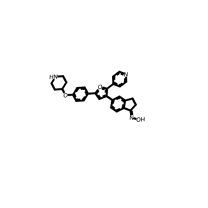 ON=C1CCc2cc(-c3cc(-c4ccc(OC5CCNCC5)cc4)oc3-c3ccncc3)ccc21